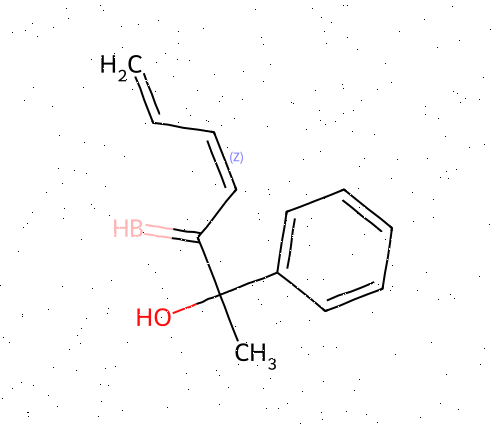 B=C(/C=C\C=C)C(C)(O)c1ccccc1